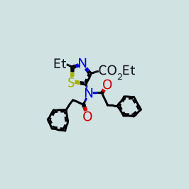 CCOC(=O)c1nc(CC)sc1N(C(=O)Cc1ccccc1)C(=O)Cc1ccccc1